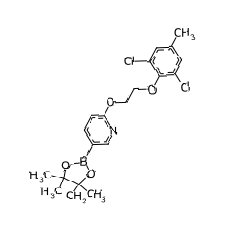 Cc1cc(Cl)c(OCCOc2ccc(B3OC(C)(C)C(C)(C)O3)cn2)c(Cl)c1